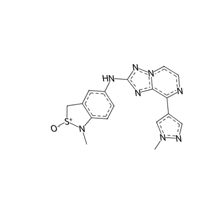 CN1c2ccc(Nc3nc4c(-c5cnn(C)c5)nccn4n3)cc2C[S+]1[O-]